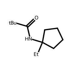 CCC1(NC(=O)C(C)(C)C)CCCC1